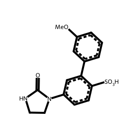 COc1cccc(-c2cc(N3CCNC3=O)ccc2S(=O)(=O)O)c1